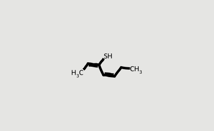 C/C=C(S)\C=C/CC